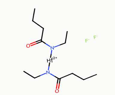 CCCC(=O)[N](CC)[Hf+2][N](CC)C(=O)CCC.[F-].[F-]